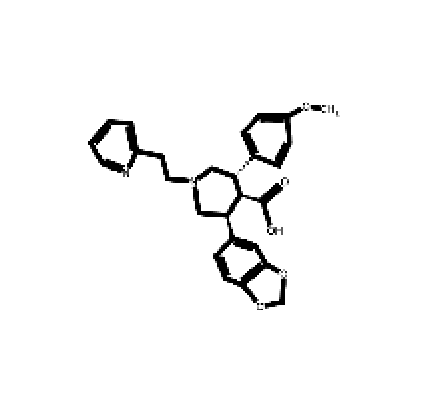 COc1ccc([C@H]2CN(CCc3ccccn3)C[C@H](c3ccc4c(c3)OCO4)[C@@H]2C(=O)O)cc1